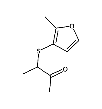 CC(=O)C(C)Sc1ccoc1C